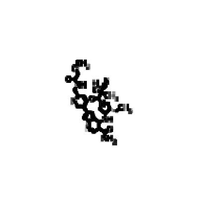 CC[C@H]1CN(C(=O)C(C)(C)C#N)C[C@H]1Nc1c(C(N)=O)cnn2cc(-c3ccc(CNC(=O)COC)nc3)cc12